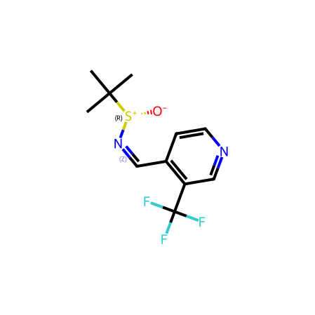 CC(C)(C)[S@+]([O-])/N=C\c1ccncc1C(F)(F)F